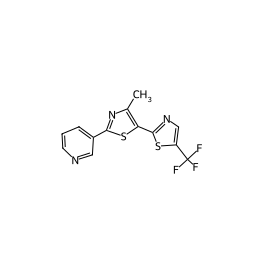 Cc1nc(-c2cccnc2)sc1-c1ncc(C(F)(F)F)s1